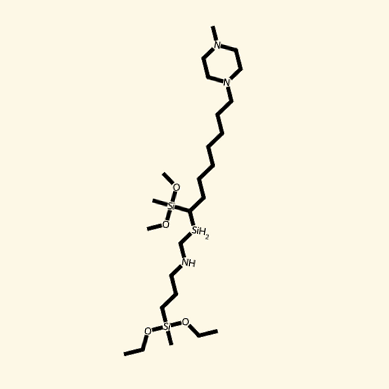 CCO[Si](C)(CCCNC[SiH2]C(CCCCCCCN1CCN(C)CC1)[Si](C)(OC)OC)OCC